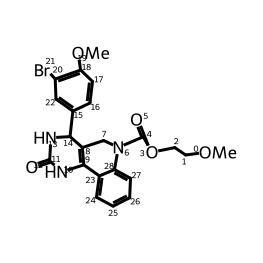 COCCOC(=O)N1CC2=C(NC(=O)NC2c2ccc(OC)c(Br)c2)c2ccccc21